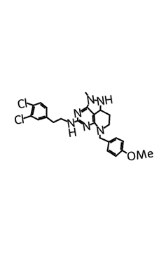 COc1ccc(CN2CCC3NN(C)c4nc(NCCc5ccc(Cl)c(Cl)c5)nc2c43)cc1